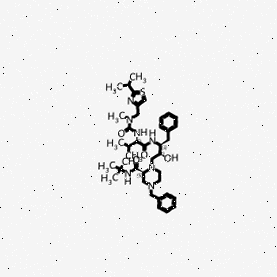 CC(C)c1nc(CN(C)C(=O)N[C@H](C(=O)N[C@@H](Cc2ccccc2)[C@H](O)CN2CCN(Cc3ccccc3)C[C@H]2C(=O)NC(C)(C)C)C(C)C)cs1